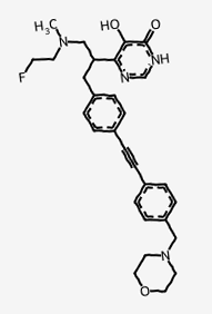 CN(CCF)CC(Cc1ccc(C#Cc2ccc(CN3CCOCC3)cc2)cc1)c1nc[nH]c(=O)c1O